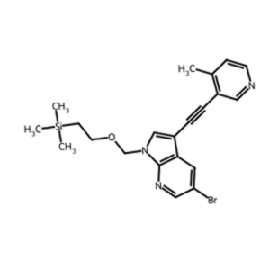 Cc1ccncc1C#Cc1cn(COCC[Si](C)(C)C)c2ncc(Br)cc12